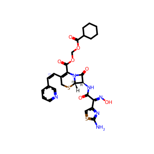 Nc1nc(C(=NO)C(=O)N[C@@H]2C(=O)N3C(C(=O)OCOC(=O)C4CCCCC4)=C(/C=C\c4cccnc4)CS[C@@H]23)cs1